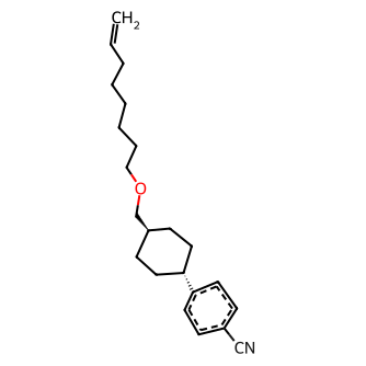 C=CCCCCCCOC[C@H]1CC[C@H](c2ccc(C#N)cc2)CC1